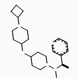 CN(C(=O)c1cccnc1)N1CCC(OC2CCN(C3CCC3)CC2)CC1